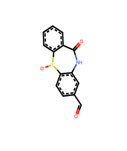 O=Cc1ccc2c(c1)NC(=O)c1ccccc1[S+]2[O-]